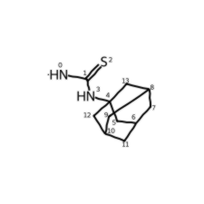 [NH]C(=S)NC12CC3CC(CC(C3)C1)C2